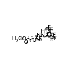 CCOC(=O)CCCOc1cnc(NCc2cc(C(F)(F)F)cc(C(F)(F)F)c2)nc1